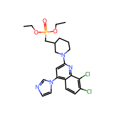 CCOP(=O)(CC1CCCN(c2cc(-n3ccnc3)c3ccc(Cl)c(Cl)c3n2)C1)OCC